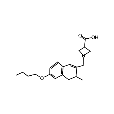 CCCCOc1ccc2c(c1)CC(C)C(CN1CC(C(=O)O)C1)=C2